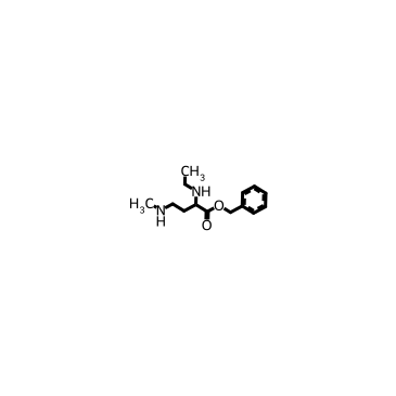 CCNC(CCNC)C(=O)OCc1ccccc1